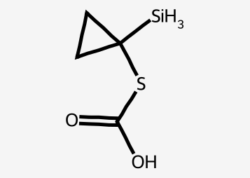 O=C(O)SC1([SiH3])CC1